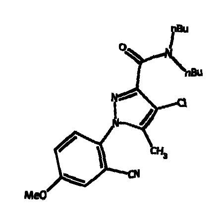 CCCCN(CCCC)C(=O)c1nn(-c2ccc(OC)cc2C#N)c(C)c1Cl